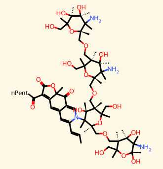 C/C=C/C1=CC2=CC3=C(C(=O)CCCCC)C(=O)OC3(C)C(=O)C2=CN1C1(C)[C@](C)(O)[C@](C)(COC[C@]2(C)OC(C)(CO)[C@@](C)(COC[C@]3(C)OC(C)(CO)[C@@](C)(O)[C@@](C)(O)C3(C)N)[C@@](C)(O)C2(C)N)C(C)(CO)O[C@@]1(C)COC[C@]1(C)C(C)(CO)O[C@@](C)(O)C(C)(N)[C@]1(C)O